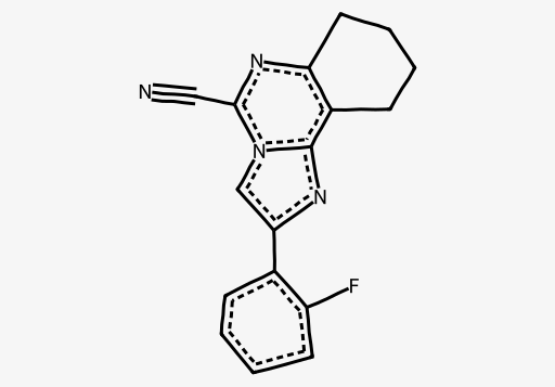 N#Cc1nc2c(c3nc(-c4ccccc4F)cn13)CCCC2